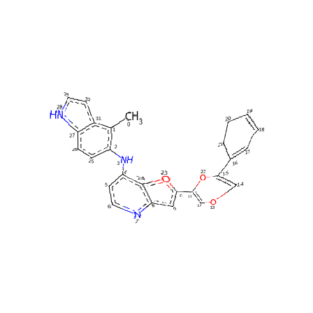 Cc1c(Nc2ccnc3cc(C4=COC=C(C5=CC=CCC5)O4)oc23)ccc2[nH]ccc12